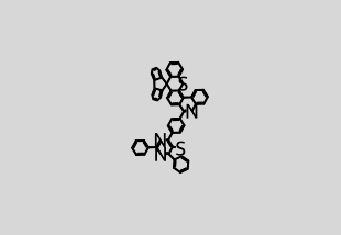 c1ccc(-c2nc(-c3ccc(-c4nc5ccccc5c5c6c(ccc45)C4(c5ccccc5S6)c5ccccc5-c5ccccc54)cc3)c3sc4ccccc4c3n2)cc1